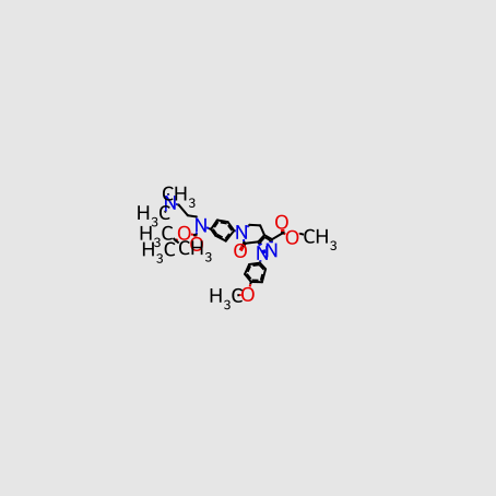 CCOC(=O)c1nn(-c2ccc(OC)cc2)c2c1CCN(c1ccc(N(CCCN(C)C)C(=O)OC(C)(C)C)cc1)C2=O